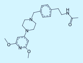 COc1cc(N2CCN(Cc3ccc(CCNC(C)=O)cc3)CC2)cc(OC)n1